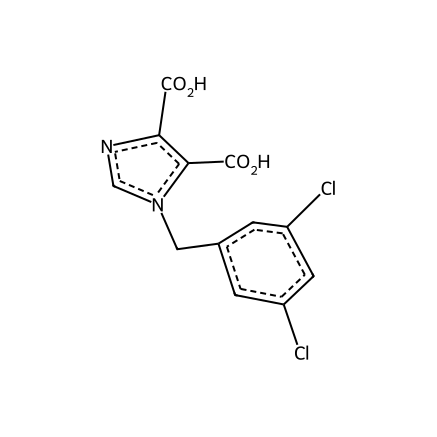 O=C(O)c1ncn(Cc2cc(Cl)cc(Cl)c2)c1C(=O)O